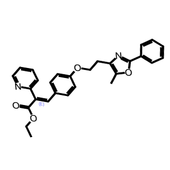 CCOC(=O)/C(=C/c1ccc(OCCc2nc(-c3ccccc3)oc2C)cc1)c1ccccn1